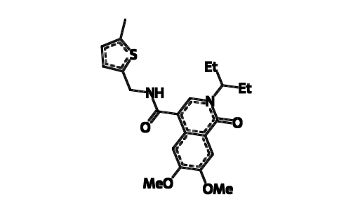 CCC(CC)n1cc(C(=O)NCc2ccc(C)s2)c2cc(OC)c(OC)cc2c1=O